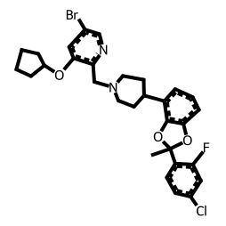 CC1(c2ccc(Cl)cc2F)Oc2cccc(C3CCN(Cc4ncc(Br)cc4OC4CCCC4)CC3)c2O1